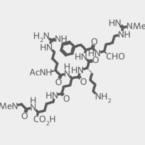 CNCC(=O)NC(CCCNC(=O)CCC(NC(=O)[C@H](CCCNC(=N)N)NC(C)=O)C(=O)N[C@@H](CCCCN)C(=O)NC(Cc1ccccc1)C(=O)N[C@H](C=O)CCCNC(=N)NC)C(=O)O